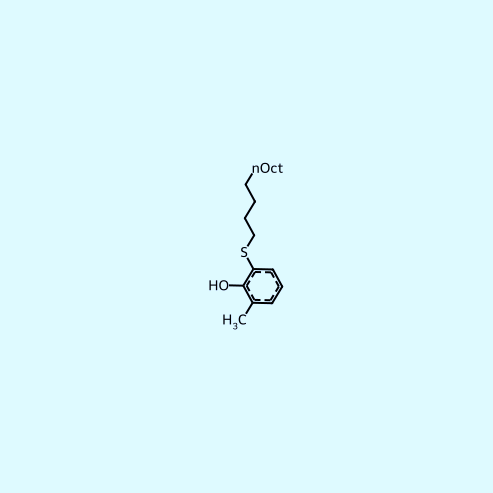 CCCCCCCCCCCCSc1cccc(C)c1O